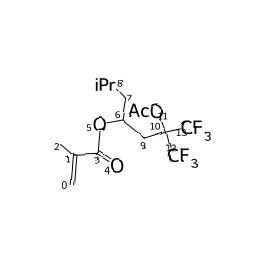 C=C(C)C(=O)OC(CC(C)C)CC(OC(C)=O)(C(F)(F)F)C(F)(F)F